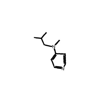 CC(C)CN(C)c1ccncc1